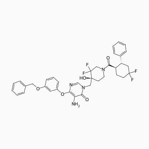 Nc1c(Oc2cccc(OCc3ccccc3)c2)ncn(C[C@@]2(O)CCN(C(=O)[C@@H]3CCC(F)(F)C[C@H]3c3ccccc3)CC2(F)F)c1=O